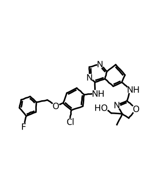 CC1(CO)COC(Nc2ccc3ncnc(Nc4ccc(OCc5cccc(F)c5)c(Cl)c4)c3c2)=N1